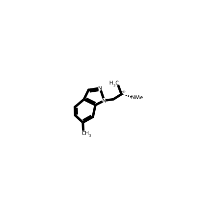 CN[C@@H](C)Cn1ncc2ccc(C)cc21